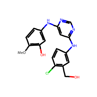 COc1ccc(Nc2cc(Nc3ccc(Cl)c(CO)c3)ncn2)cc1O